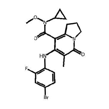 CON(C(=O)c1c(Nc2ccc(Br)cc2F)c(C)c(=O)n2c1CCC2)C1CC1